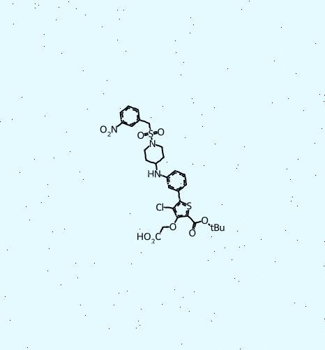 CC(C)(C)OC(=O)c1sc(-c2cccc(NC3CCN(S(=O)(=O)Cc4cccc([N+](=O)[O-])c4)CC3)c2)c(Cl)c1OCC(=O)O